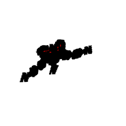 N#Cc1ccc(-c2ccc3c(c2)c2ccccc2n3-c2cc(C#N)cc(-n3c4ccccc4c4cc(-c5ccc(C#N)cc5)ccc43)c2-c2nc(-c3ccccc3)nc(-c3ccccc3)n2)cc1